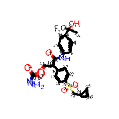 CC(O)(c1ccc(NC(=O)C(COC(N)=O)c2ccc(S(=O)(=O)CC3CC3)cc2)cc1)C(F)(F)F